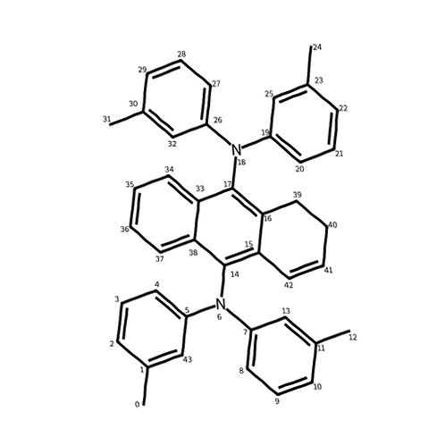 Cc1cccc(N(c2cccc(C)c2)c2c3c(c(N(c4cccc(C)c4)c4cccc(C)c4)c4ccccc24)CCC=C3)c1